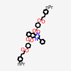 CCCc1ccc(CCC(=O)O[C@H]2CC[C@H](C(=O)Oc3c4ccccc4c(OC(=O)[C@H]4CC[C@H](OC(=O)CCc5ccc(CCC)cc5)CC4)c4nc(-c5ccccc5)cnc34)CC2)cc1